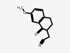 COc1ccc2c(c1)C(=O)C(CC#N)CC2